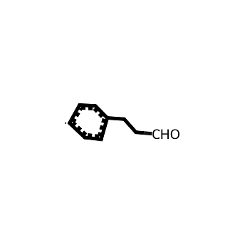 O=CCCc1cc[c]cc1